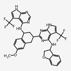 COc1ccc2c(c1)CC(c1nc(NC3COc4ccccc43)c3c(C(F)(F)F)c[nH]c3n1)CC2Nc1ncnc2[nH]cc(C(F)(F)F)c12